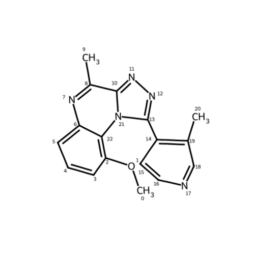 COc1cccc2nc(C)c3nnc(-c4ccncc4C)n3c12